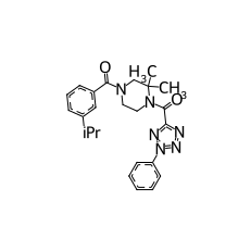 CC(C)c1cccc(C(=O)N2CCN(C(=O)c3nnn(-c4ccccc4)n3)C(C)(C)C2)c1